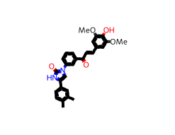 COc1cc(C=CC(=O)c2cccc(-n3cc(-c4ccc(C)c(C)c4)[nH]c3=O)c2)cc(OC)c1O